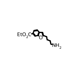 CCOC(=O)c1ccc2cc(CCCCN)oc2c1